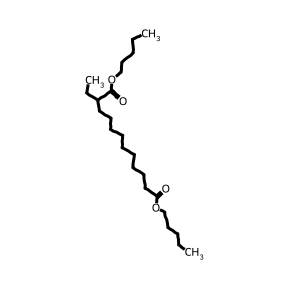 CCCCCOC(=O)CCCCCCCCCC(CC)C(=O)OCCCCC